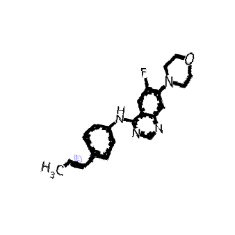 C/C=C/c1ccc(Nc2ncnc3cc(N4CCOCC4)c(F)cc23)cc1